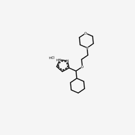 Cl.c1cc(C(OCCN2CCOCC2)C2CCCCC2)n[nH]1